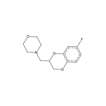 Fc1ccc2c(c1)OC(CN1CCOCC1)CO2